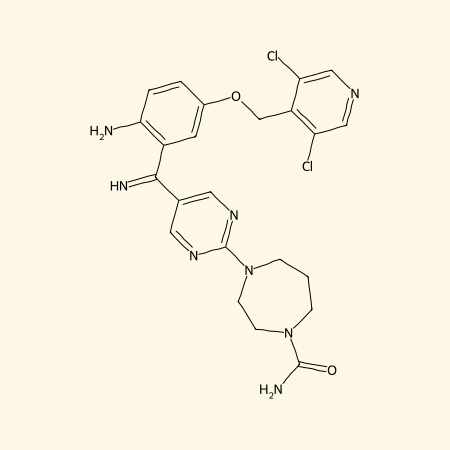 N=C(c1cnc(N2CCCN(C(N)=O)CC2)nc1)c1cc(OCc2c(Cl)cncc2Cl)ccc1N